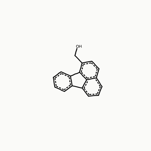 OCc1ccc2cccc3c2c1-c1ccccc1-3